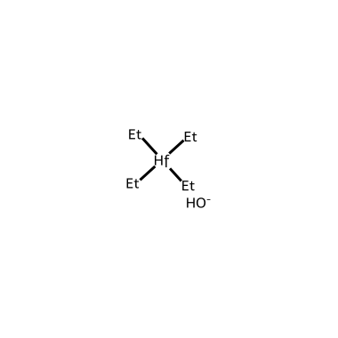 C[CH2][Hf]([CH2]C)([CH2]C)[CH2]C.[OH-]